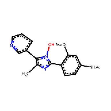 COc1cc(NC(C)=O)ccc1-c1nc(C)c(-c2cccnc2)n1O